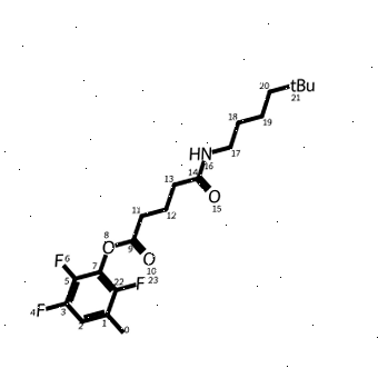 Cc1cc(F)c(F)c(OC(=O)CCCC(=O)NCCCCC(C)(C)C)c1F